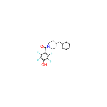 O=C(c1c(F)c(F)c(O)c(F)c1F)N1CCC(Cc2ccccc2)CC1